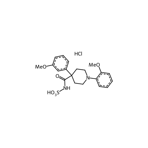 COc1cccc(C2(C(=O)NS(=O)(=O)O)CCN(c3ccccc3OC)CC2)c1.Cl